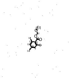 CCOCOC(=O)c1c(I)cc(I)cc1I